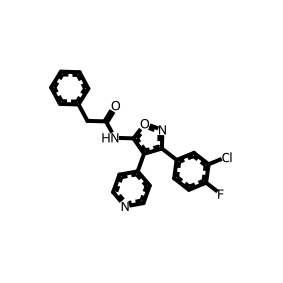 O=C(Cc1ccccc1)Nc1onc(-c2ccc(F)c(Cl)c2)c1-c1ccncc1